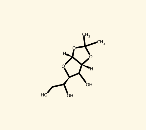 CC1(C)O[C@H]2O[C@H](C(O)CO)C(O)[C@H]2O1